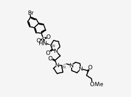 COCCC(=O)N1CCN(C[C@@H]2CCCN2C(=O)CN2CCC[C@H](NS(=O)(=O)c3ccc4cc(Br)ccc4c3)C2=O)CC1